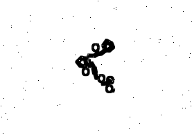 COC(=O)COCC#CCN1C(=O)CCC[C@@H]1CCC(=O)Cc1ccccc1